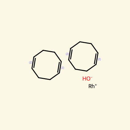 C1=C\CC/C=C\CC/1.C1=C\CC/C=C\CC/1.[OH-].[Rh+]